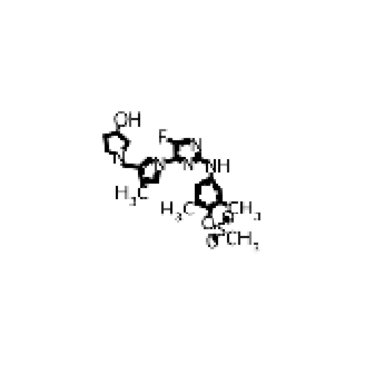 Cc1cn(-c2nc(Nc3cc(C)c(OS(C)(=O)=O)c(C)c3)ncc2F)cc1CN1CC[C@@H](O)C1